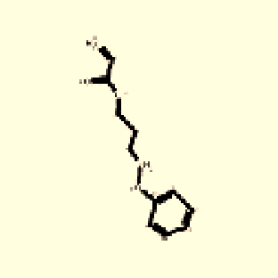 C=CC(=O)OCCC[SiH2]Oc1ccccc1